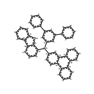 c1ccc(-c2cc(-c3ccccc3)cc(N(c3ccc4c5ccccc5c5ccccc5c4c3)c3ccnc4c3oc3ccccc34)c2)cc1